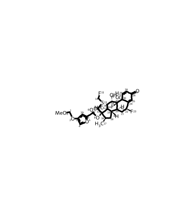 COCOc1coc(C(=O)O[C@]2(C(=O)SCF)[C@H](C)C[C@H]3[C@@H]4C[C@H](F)C5=CC(=O)C=C[C@]5(C)[C@@]4(F)[C@@H](O)C[C@@]32C)c1